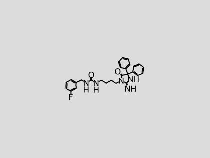 N=C1NC(c2ccccc2)(c2ccccc2)C(=O)N1CCCCNC(=O)NCc1cccc(F)c1